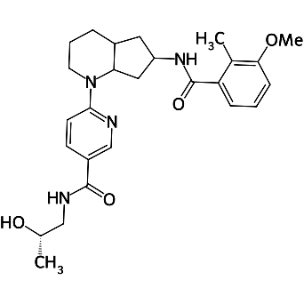 COc1cccc(C(=O)NC2CC3CCCN(c4ccc(C(=O)NC[C@H](C)O)cn4)C3C2)c1C